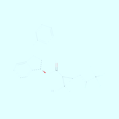 CC1(C)C(/C=C(\Cl)C(F)(F)F)C1C(=O)O[C@@H]1C[C@@H](Cc2ccccc2)c2ccccc21